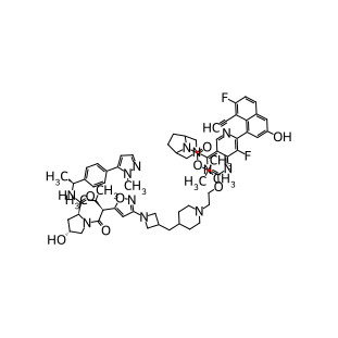 C#Cc1c(F)ccc2cc(O)cc(-c3ncc4c(N5CC6CCC(C5)N6C(=O)OC(C)(C)C)nc(OCCN5CCC(CC6CN(c7cc([C@@H](C(=O)N8C[C@H](O)C[C@H]8C(=O)N[C@@H](C)c8ccc(-c9ccnn9C)cc8)C(C)C)on7)C6)CC5)nc4c3F)c12